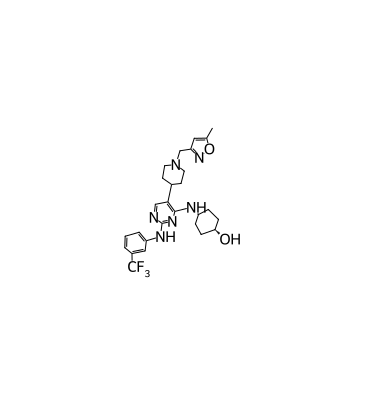 Cc1cc(CN2CCC(c3cnc(Nc4cccc(C(F)(F)F)c4)nc3N[C@H]3CC[C@H](O)CC3)CC2)no1